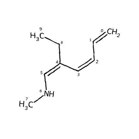 C=C/C=C\C(=C/NC)CC